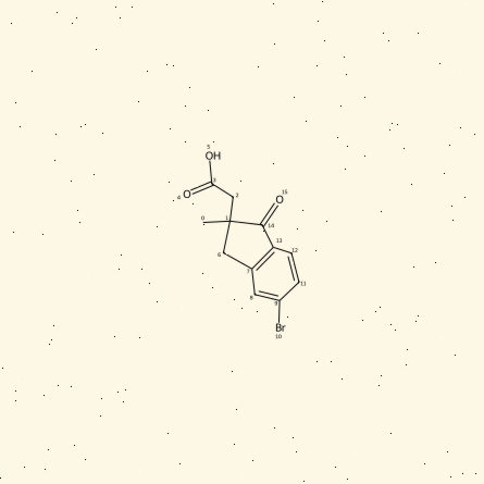 CC1(CC(=O)O)Cc2cc(Br)ccc2C1=O